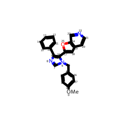 COc1ccc(Cn2cnc(-c3ccccc3)c2-c2cc3ccncc3o2)cc1